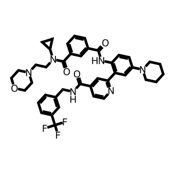 O=C(NCc1cccc(C(F)(F)F)c1)c1ccnc(-c2cc(N3CCCCC3)ccc2NC(=O)c2cccc(C(=O)N(CCN3CCOCC3)C3CC3)c2)c1